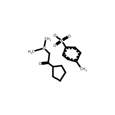 C[S+](C)CC(=O)C1CCCC1.Cc1ccc(S(=O)(=O)[O-])cc1